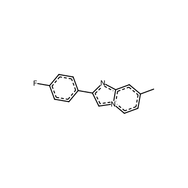 Cc1ccn2cc(-c3ccc(F)cc3)nc2c1